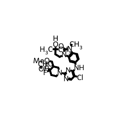 COCC1CN(c2ncc(Cl)c(Nc3ccc4c(c3)n(CCC(C)(C)O)c(=O)n4C)n2)CCC1(F)F.O=CO